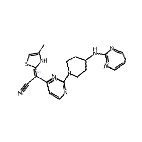 CC1=CS/C(=C(\C#N)c2ccnc(N3CCC(Nc4ncccn4)CC3)n2)N1